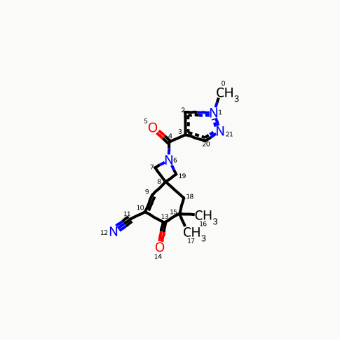 Cn1cc(C(=O)N2CC3(C=C(C#N)C(=O)C(C)(C)C3)C2)cn1